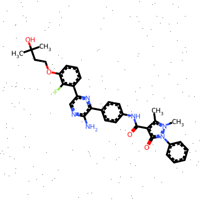 Cc1c(C(=O)Nc2ccc(-c3nc(-c4cccc(OCCC(C)(C)O)c4F)cnc3N)cc2)c(=O)n(-c2ccccc2)n1C